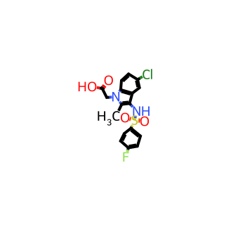 Cc1c(NS(=O)(=O)c2ccc(F)cc2)c2cc(Cl)ccc2n1CC(=O)O